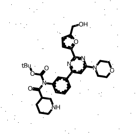 CC(C)(C)OC(=O)N(C(=O)C1CCCNC1)c1cccc(-c2cc(N3CCOCC3)nc(-c3ccc(CO)o3)n2)c1